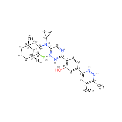 COc1cc(-c2ccc(-c3ncc(N(C4CC4)[C@@H]4C[C@@]5(C)CCC[C@H](C5)[C@@H]4F)nn3)c(O)c2)nnc1C